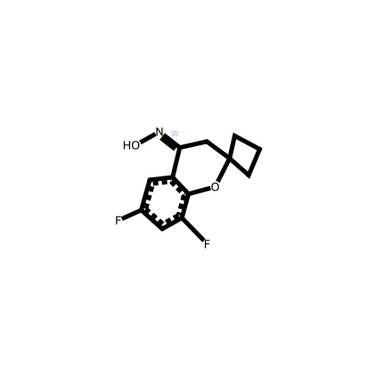 O/N=C1/CC2(CCC2)Oc2c(F)cc(F)cc21